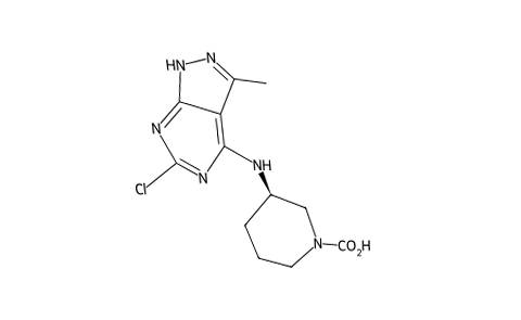 Cc1n[nH]c2nc(Cl)nc(N[C@@H]3CCCN(C(=O)O)C3)c12